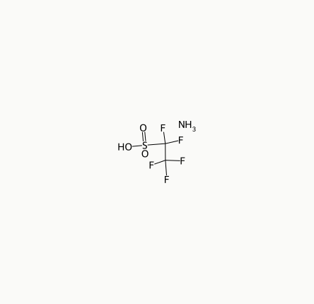 N.O=S(=O)(O)C(F)(F)C(F)(F)F